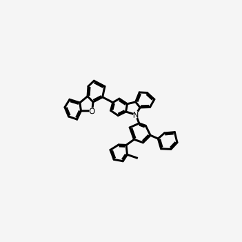 Cc1ccccc1-c1cc(-c2ccccc2)cc(-n2c3ccccc3c3cc(-c4cccc5c4oc4ccccc45)ccc32)c1